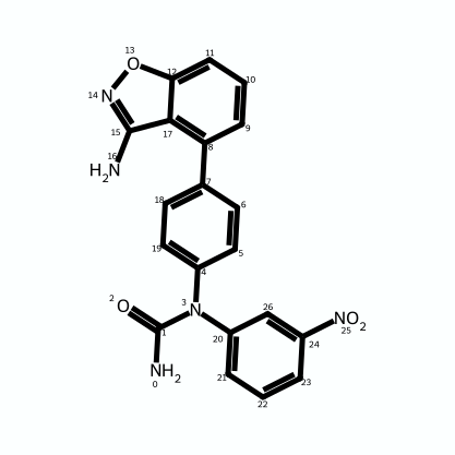 NC(=O)N(c1ccc(-c2cccc3onc(N)c23)cc1)c1cccc([N+](=O)[O-])c1